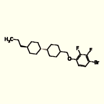 CCC[C@H]1CC[C@H](C2CCC(COc3ccc(Br)c(F)c3F)CC2)CC1